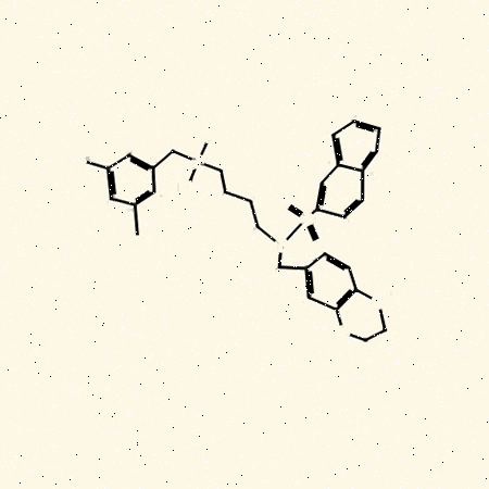 CC[N+](CC)(CCCCN(Cc1ccc2c(c1)OCCO2)S(=O)(=O)c1ccc2ccccc2c1)Cc1cc(C)cc(C)c1